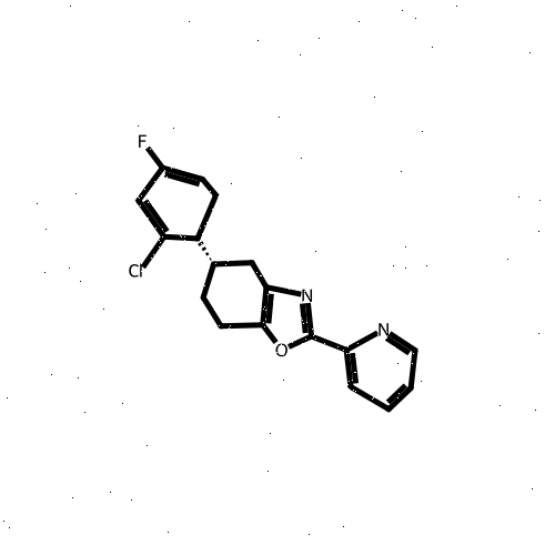 FC1=CCC([C@H]2CCc3oc(-c4ccccn4)nc3C2)C(Cl)=C1